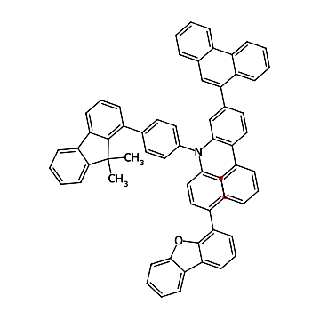 CC1(C)c2ccccc2-c2cccc(-c3ccc(N(c4ccc(-c5cccc6c5oc5ccccc56)cc4)c4cc(-c5cc6ccccc6c6ccccc56)ccc4-c4ccccc4)cc3)c21